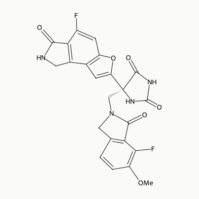 COc1ccc2c(c1F)C(=O)N(C[C@@]1(c3cc4c5c(c(F)cc4o3)C(=O)NC5)NC(=O)NC1=O)C2